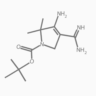 CC(C)(C)OC(=O)N1CC(C(=N)N)=C(N)C1(C)C